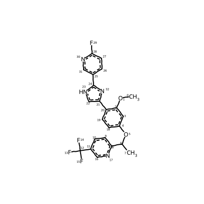 COc1cc(OC(C)c2ccc(C(F)(F)F)cn2)ccc1-c1c[nH]c(-c2ccc(F)nc2)n1